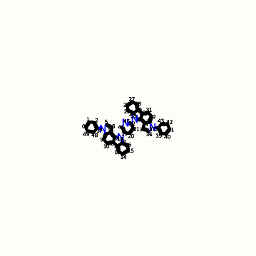 c1ccc(-n2ccc3c2ccc2c4ccccc4n(-c4ccc(-n5c6ccccc6c6ccc7c(ccn7-c7ccccc7)c65)nc4)c23)cc1